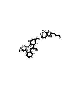 CCCCc1nc(Cl)c(CC(=O)OCc2ccc3oc(-c4ccccc4-c4nnn[nH]4)c(Br)c3c2)[nH]1